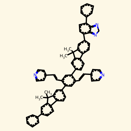 CC1(C)c2cc(-c3ccccc3)ccc2-c2ccc(-c3cc(/C=C/c4ccncc4)c(-c4ccc5c(c4)C(C)(C)c4cc(-c6ccc(-c7ccccc7)c7c6=NCN=7)ccc4-5)cc3/C=C/c3ccncc3)cc21